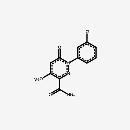 COc1cc(=O)n(-c2cccc(Cl)c2)nc1C(N)=O